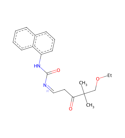 CCOCC(C)(C)C(=O)C/C=N\C(=O)Nc1cccc2ccccc12